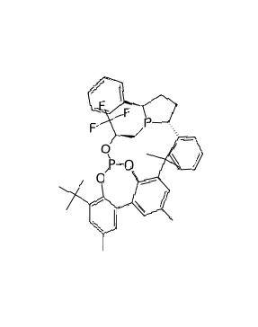 Cc1cc(C(C)(C)C)c2op(O[C@H](CP3[C@@H](c4ccccc4)CC[C@@H]3c3ccccc3)C(F)(F)F)oc3c(C(C)(C)C)cc(C)cc3c2c1